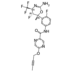 CC#CCOc1cnc(C(=O)Nc2ccc(F)c([C@@]3(C)OC(N)=N[C@H](C(F)(F)F)[C@H]3F)c2)cn1